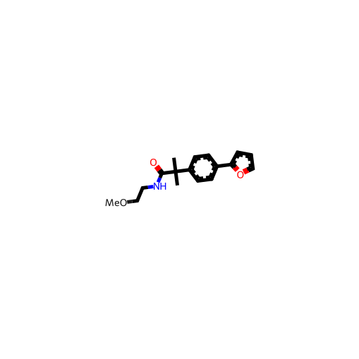 COCCNC(=O)C(C)(C)c1ccc(-c2ccco2)cc1